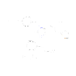 CCCCc1ncc(/C=C(\Cc2cccs2)C(=O)O)n1Cc1ccc(C(=O)O)cc1.CN[C@@H](C)[C@@H](O)c1ccccc1.CS(=O)(=O)O